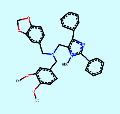 CCCCn1c(-c2ccccc2)nc(-c2ccccc2)c1CN(Cc1ccc(OCC)c(OCC)c1)Cc1ccc2c(c1)OCO2